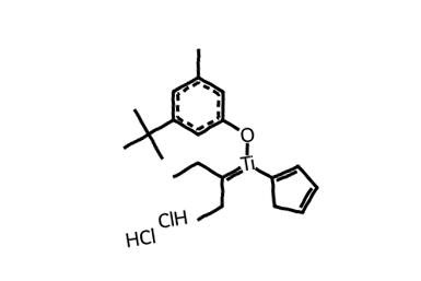 CC[C](CC)=[Ti]([O]c1cc(C)cc(C(C)(C)C)c1)[C]1=CC=CC1.Cl.Cl